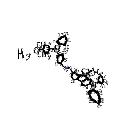 CC(C)(C)c1ccc(B(c2ccccc2)c2ccc(/C=C/c3ccc4c(c3)C(C)(C)c3cc(B(c5ccccc5)c5ccccc5)ccc3-4)cc2)cc1